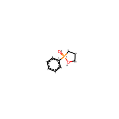 O=P1(c2ccccc2)CCCO1